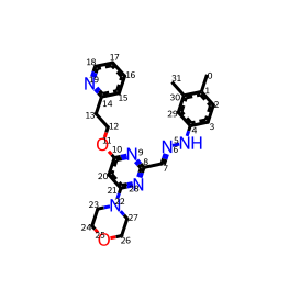 Cc1ccc(NN=Cc2nc(OCCc3ccccn3)cc(N3CCOCC3)n2)cc1C